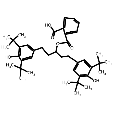 CC(C)(C)c1cc(CCC(CCc2cc(C(C)(C)C)c(O)c(C(C)(C)C)c2)OC(=O)c2ccccc2C(=O)O)cc(C(C)(C)C)c1O